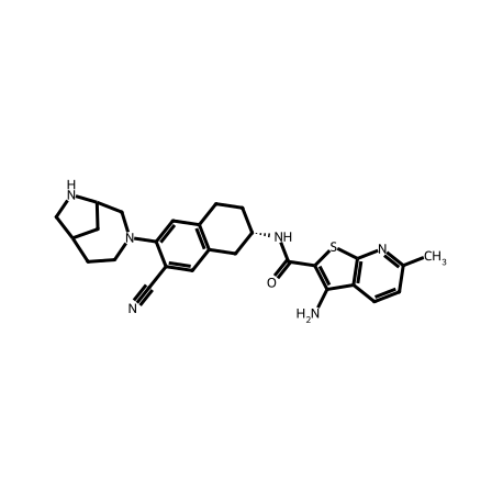 Cc1ccc2c(N)c(C(=O)N[C@H]3CCc4cc(N5CCC6CNC(C6)C5)c(C#N)cc4C3)sc2n1